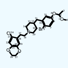 COC(C)Oc1ccc(Br)c(CC2CCN(CCc3cc4c(cc3Cl)OCCO4)CC2)c1